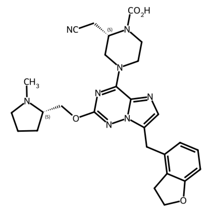 CN1CCC[C@H]1COc1nc(N2CCN(C(=O)O)[C@@H](CC#N)C2)c2ncc(Cc3cccc4c3CCO4)n2n1